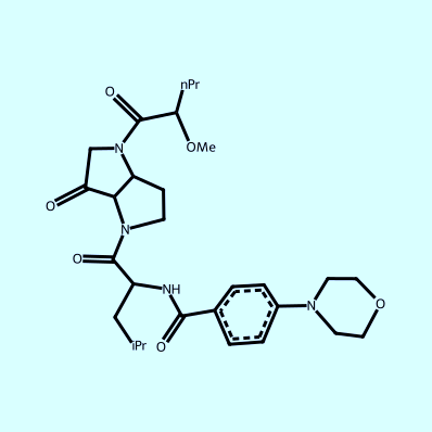 CCCC(OC)C(=O)N1CC(=O)C2C1CCN2C(=O)C(CC(C)C)NC(=O)c1ccc(N2CCOCC2)cc1